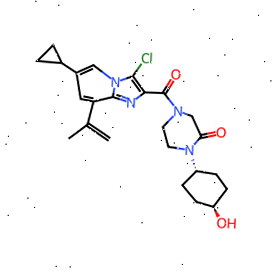 C=C(C)c1cc(C2CC2)cn2c(Cl)c(C(=O)N3CCN([C@H]4CC[C@H](O)CC4)C(=O)C3)nc12